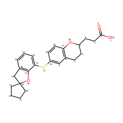 O=C(O)CCC1CCc2cc(Sc3cccc4c3OC3(CCCC3)C4)ccc2O1